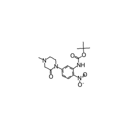 CN1CCN(c2ccc([N+](=O)[O-])c(NC(=O)OC(C)(C)C)c2)C(=O)C1